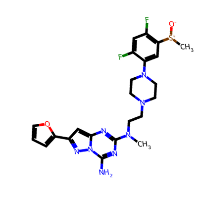 CN(CCN1CCN(c2cc([S+](C)[O-])c(F)cc2F)CC1)c1nc(N)n2nc(-c3ccco3)cc2n1